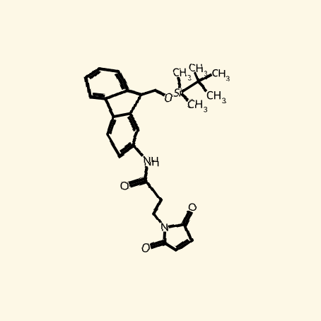 CC(C)(C)[Si](C)(C)OCC1c2ccccc2-c2ccc(NC(=O)CCN3C(=O)C=CC3=O)cc21